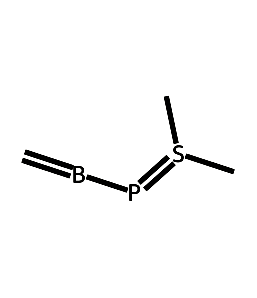 C=BP=S(C)C